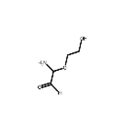 CCC(=O)[C](N)OCCO